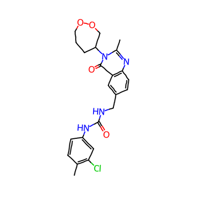 Cc1ccc(NC(=O)NCc2ccc3nc(C)n(C4CCCOOC4)c(=O)c3c2)cc1Cl